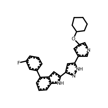 Fc1cccc(-c2cccc3[nH]c(-c4cc(-c5cncc(OC6CCCCC6)c5)[nH]n4)cc23)c1